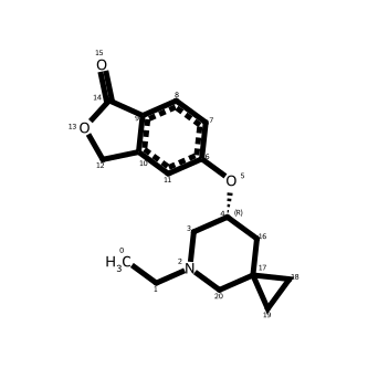 CCN1C[C@H](Oc2ccc3c(c2)COC3=O)CC2(CC2)C1